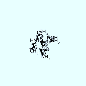 COC(=O)CCNCCC(=O)OC.Nc1ccn([C@H]2C[C@H](O)[C@@H](COP(N)(=O)O)O2)c(=O)n1